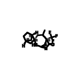 CC1C[C@@]2(C[C@@H]3CC[C@H]2C3)NC2=NC(=O)[C@@]1(C(F)(F)F)S2